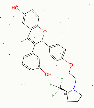 CC1=C(c2cccc(O)c2)C(c2ccc(OCCN3CCC[C@H]3C(F)(F)F)cc2)Oc2ccc(O)cc21